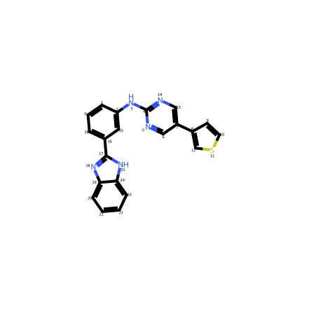 c1cc(Nc2ncc(-c3ccsc3)cn2)cc(-c2nc3ccccc3[nH]2)c1